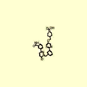 NC(=O)c1cccc(-c2ccc(=O)n(Cc3cccc(-c4ncc(OCC5CCN(C(=O)O)CC5)cn4)c3)n2)c1